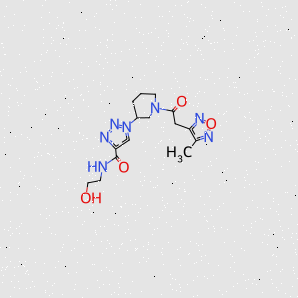 Cc1nonc1CC(=O)N1CCCC(n2cc(C(=O)NCCO)nn2)C1